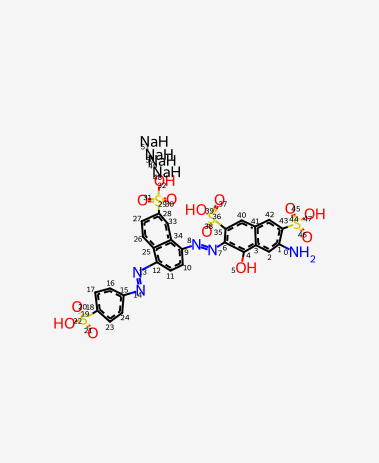 Nc1cc2c(O)c(N=Nc3ccc(N=Nc4ccc(S(=O)(=O)O)cc4)c4ccc(S(=O)(=O)O)cc34)c(S(=O)(=O)O)cc2cc1S(=O)(=O)O.[NaH].[NaH].[NaH].[NaH]